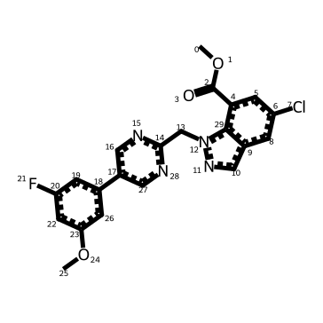 COC(=O)c1cc(Cl)cc2cnn(Cc3ncc(-c4cc(F)cc(OC)c4)cn3)c12